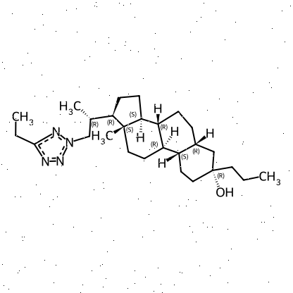 CCC[C@@]1(O)CC[C@H]2[C@H](CC[C@@H]3[C@@H]2CC[C@]2(C)[C@@H]([C@@H](C)Cn4nnc(CC)n4)CC[C@@H]32)C1